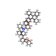 c1ccc(-c2cccc(-c3ccccc3)c2N(c2ccc(-c3cccc4c3oc3ccccc34)cc2)c2cccc(-c3ccc4c(c3)c(-c3ccccc3)c(-c3ccccc3)c3ccccc34)c2)cc1